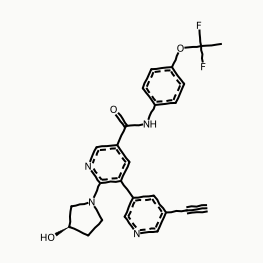 C#Cc1cncc(-c2cc(C(=O)Nc3ccc(OC(C)(F)F)cc3)cnc2N2CC[C@@H](O)C2)c1